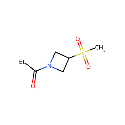 CCC(=O)N1CC(S(C)(=O)=O)C1